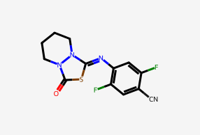 N#Cc1cc(F)c(N=c2sc(=O)n3n2CCCC3)cc1F